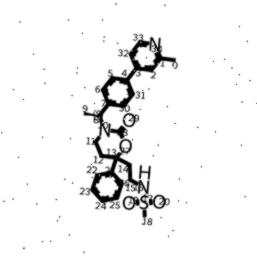 Cc1cc(-c2ccc([C@H](C)N3CCC(CCNS(C)(=O)=O)(c4ccccc4)OC3=O)cc2)ccn1